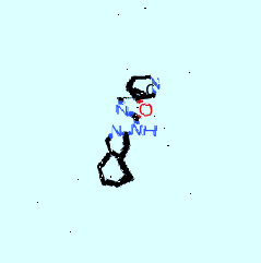 c1ccc2cc(NC3=NC[C@]4(CN5CCC4CC5)O3)ncc2c1